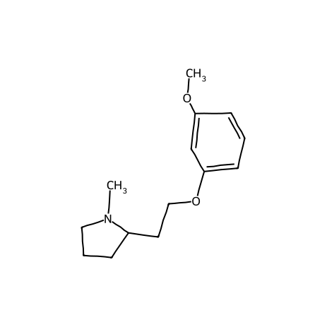 COc1cccc(OCCC2CCCN2C)c1